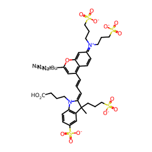 CC(C)(C)c1cc(C=CC=C2N(CCCC(=O)O)c3ccc(S(=O)(=O)[O-])cc3C2(C)CCCS(=O)(=O)[O-])c2ccc(=[N+](CCCS(=O)(=O)[O-])CCCS(=O)(=O)[O-])cc-2o1.[Na+].[Na+].[Na+]